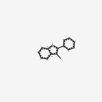 Ic1c(-c2ccccc2)sc2ccccc12